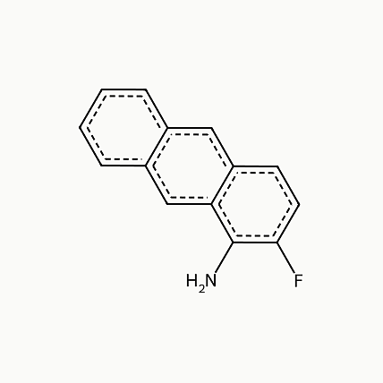 Nc1c(F)ccc2cc3ccccc3cc12